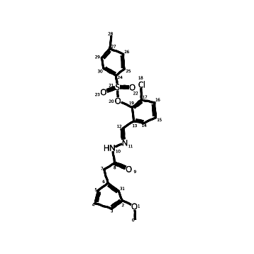 COc1cccc(CC(=O)NN=Cc2cccc(Cl)c2OS(=O)(=O)c2ccc(C)cc2)c1